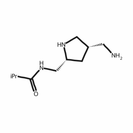 CC(C)C(=O)NC[C@H]1C[C@@H](CN)CN1